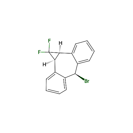 FC1(F)[C@@H]2c3ccccc3[C@H](Br)c3ccccc3[C@@H]21